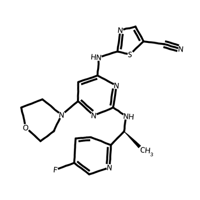 C[C@H](Nc1nc(Nc2ncc(C#N)s2)cc(N2CCOCC2)n1)c1ccc(F)cn1